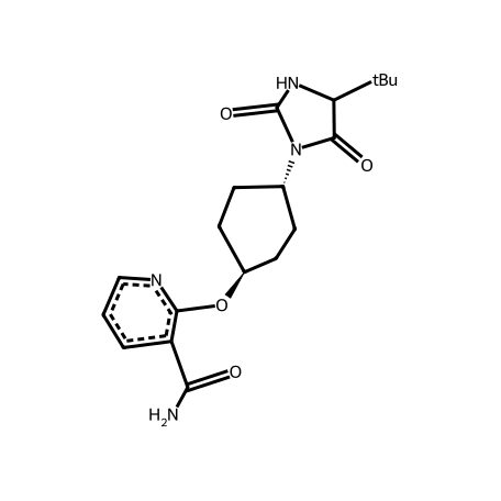 CC(C)(C)C1NC(=O)N([C@H]2CC[C@H](Oc3ncccc3C(N)=O)CC2)C1=O